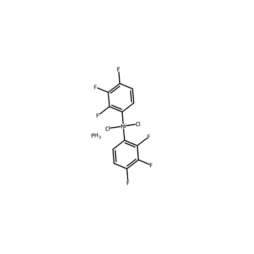 Fc1cc[c]([Ni]([Cl])([Cl])[c]2ccc(F)c(F)c2F)c(F)c1F.P